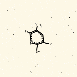 Cc1cc(Br)c(C(C)C)nc1F